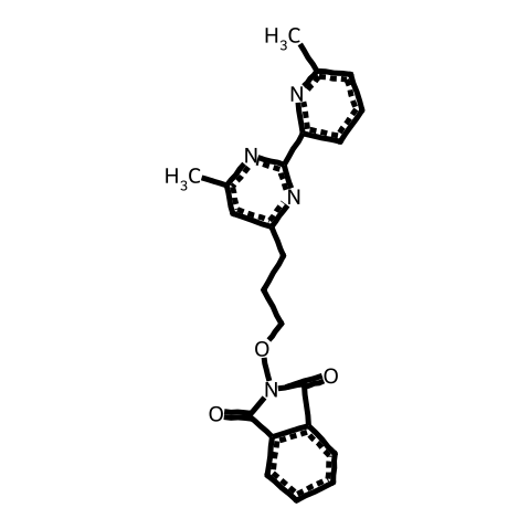 Cc1cccc(-c2nc(C)cc(CCCON3C(=O)c4ccccc4C3=O)n2)n1